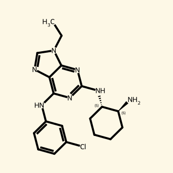 CCn1cnc2c(Nc3cccc(Cl)c3)nc(N[C@H]3CCCC[C@@H]3N)nc21